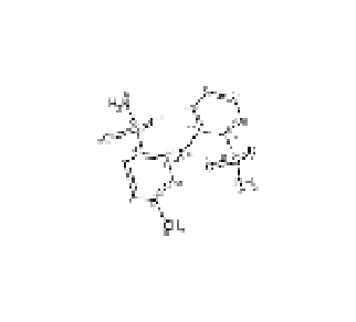 Cc1ccc(S(N)(=O)=O)cc1.Cc1ccccc1S(N)(=O)=O